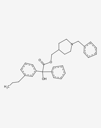 CCCc1cccc(C(O)(C(=O)OCC2CCN(Cc3ccccc3)CC2)c2ccccc2)c1